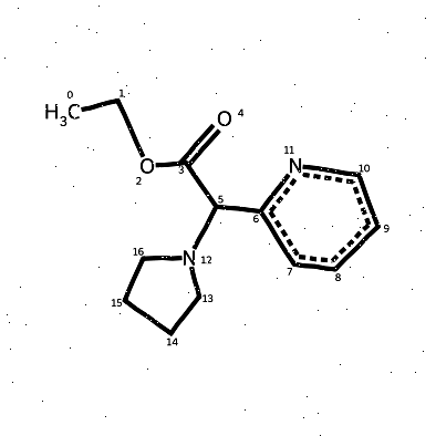 CCOC(=O)C(c1ccccn1)N1CCCC1